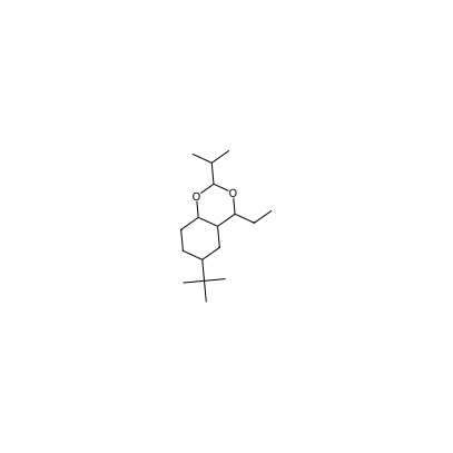 CCC1OC(C(C)C)OC2CCC(C(C)(C)C)CC12